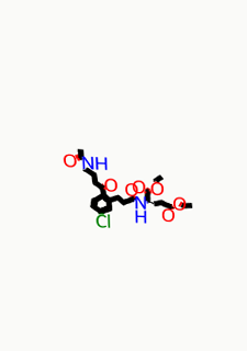 CCOC(=O)CC[C@H](NC(=O)CCc1cc(Cl)ccc1C(=O)CCCNC(C)=O)C(=O)OCC